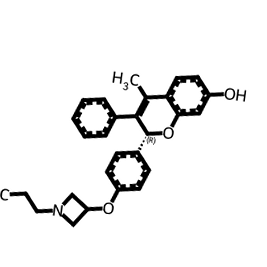 CCCN1CC(Oc2ccc([C@H]3Oc4cc(O)ccc4C(C)=C3c3ccccc3)cc2)C1